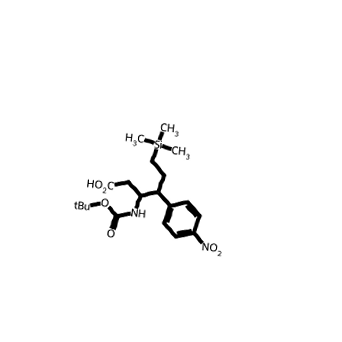 CC(C)(C)OC(=O)NC(CC(=O)O)C(CC[Si](C)(C)C)c1ccc([N+](=O)[O-])cc1